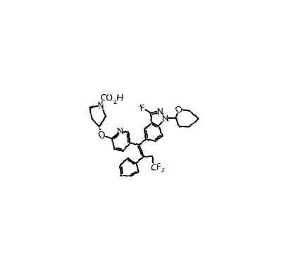 O=C(O)N1CC[C@@H](Oc2ccc(/C(=C(/CC(F)(F)F)c3ccccc3)c3ccc4c(c3)c(F)nn4C3CCCCO3)cn2)C1